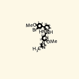 COc1ccc(C2=C3NC(c4ccc(-n5cnc(C)c5)c(OC)n4)NN3CC=C2)cc1Br